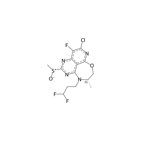 C[C@H]1COc2nc(Cl)c(F)c3nc([S+](C)[O-])nc(c23)N1CCC(F)F